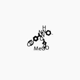 COC(=O)N1CC(COc2nc(N[C@H]3CC[C@@H](C)CC3)ncc2-c2ccc(N3CCOCC3)cc2)C1